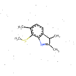 CSc1c(C)ccc2c1N=C(C)C2C